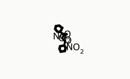 O=C(OC(=O)c1ccccc1[N+](=O)[O-])c1ccccc1[N+](=O)[O-]